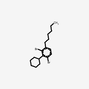 CCCCCCc1ccc(Br)c(C2CCCCC2)c1Br